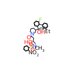 [CH2]CCC(O)(c1cccc(F)c1-c1cccc(CC)c1)C1CCCN(C(=O)C[C@@H](O)CN(C)S(=O)(=O)c2ccccc2[N+](=O)[O-])C1